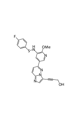 COc1ncc(-c2ccc3ncc(C#CCO)n3n2)cc1NSc1ccc(F)cc1